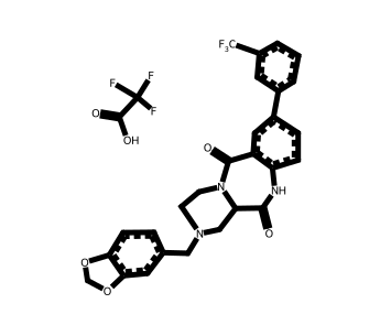 O=C(O)C(F)(F)F.O=C1Nc2ccc(-c3cccc(C(F)(F)F)c3)cc2C(=O)N2CCN(Cc3ccc4c(c3)OCO4)CC12